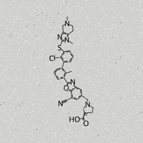 Cc1c(-c2nc3cc(CN4CC[C@@H](C(=O)O)C4)cc(C#N)c3o2)cccc1-c1cccc(Sc2nc3c(n2C)CCN(C)C3)c1Cl